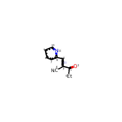 CCC(=O)/C(C#N)=C/c1ccccn1